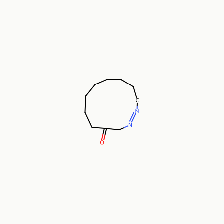 O=C1CCCCCCCCN=NC1